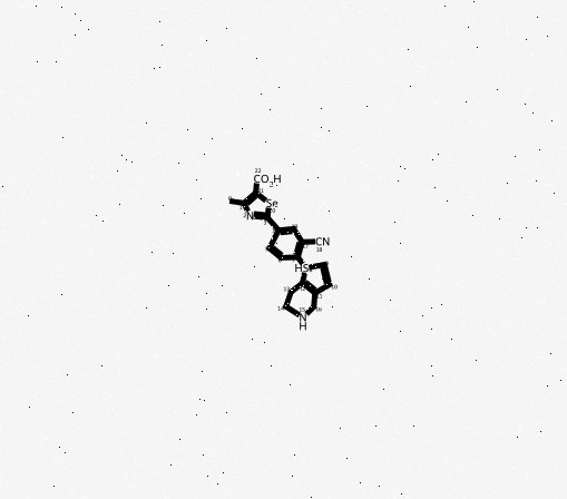 Cc1nc(-c2ccc([SH]3C=CC4=C3CCNC4)c(C#N)c2)[se]c1C(=O)O